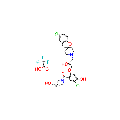 O=C(O)C(F)(F)F.O=C(c1cc(Cl)c(O)cc1OC[C@@H](O)CN1CCC2(CC1)Cc1cc(Cl)ccc1O2)N1CC[C@H](CO)C1